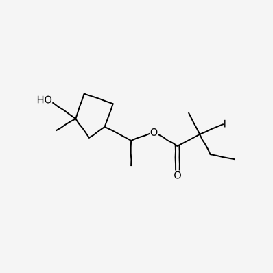 CCC(C)(I)C(=O)OC(C)C1CCC(C)(O)C1